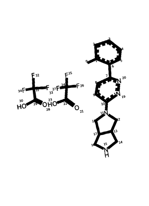 Cc1ccccc1-c1ccc(N2CC3CNCC3C2)nn1.O=C(O)C(F)(F)F.O=C(O)C(F)(F)F